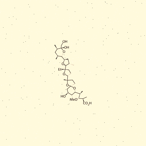 CC[C@@]1([C@H]2O[C@@H]([C@H]3O[C@@](O)(CO)[C@H](C)C[C@@H]3C)C[C@@H]2C)CC[C@H]([C@]2(C)CC[C@]3(C[C@H](O)[C@@H](C)[C@@H]([C@@H](C)[C@@H](OC)[C@@H](C)C(=O)O)O3)O2)O1